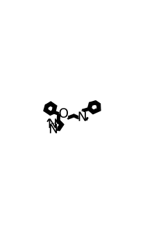 CN(CCCOC(c1ccccc1)c1ccnn1C)Cc1ccccc1